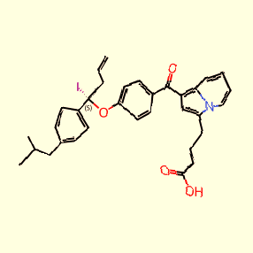 C=CC[C@@](I)(Oc1ccc(C(=O)c2cc(CCCC(=O)O)n3ccccc23)cc1)c1ccc(CC(C)C)cc1